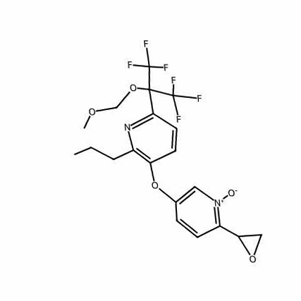 CCCc1nc(C(OCOC)(C(F)(F)F)C(F)(F)F)ccc1Oc1ccc(C2CO2)[n+]([O-])c1